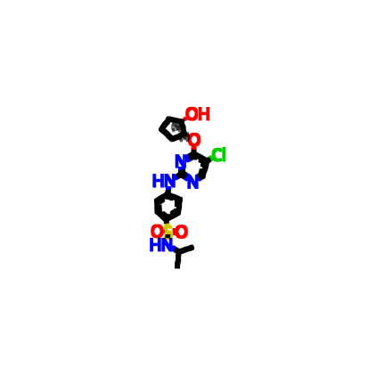 CC(C)NS(=O)(=O)c1ccc(Nc2ncc(Cl)c(O[C@@H]3CCC[C@@H]3O)n2)cc1